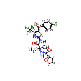 CC(C)(NC(=O)C1CCCO1)C(=O)Nc1nc(C(F)(F)F)c(C(=O)c2ccc(F)cc2)s1